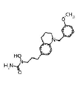 COc1cccc(CN2CCCc3cc(CCCN(O)C(N)=O)ccc32)c1